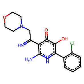 N=C(CN1CCOCC1)c1c(N)[nH]c(-c2ccccc2Cl)c(O)c1=O